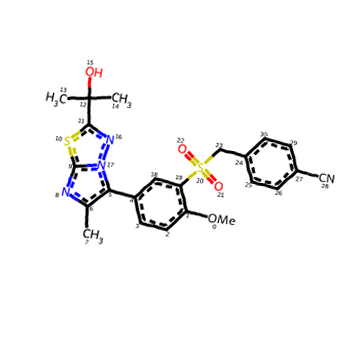 COc1ccc(-c2c(C)nc3sc(C(C)(C)O)nn23)cc1S(=O)(=O)Cc1ccc(C#N)cc1